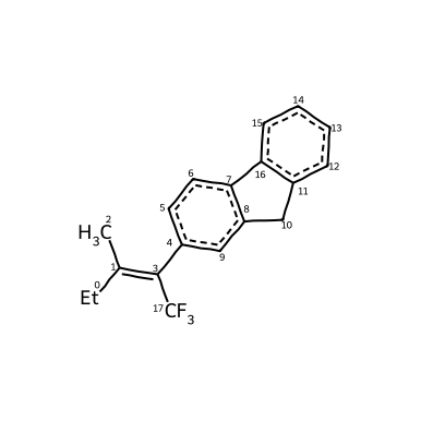 CC/C(C)=C(/c1ccc2c(c1)Cc1ccccc1-2)C(F)(F)F